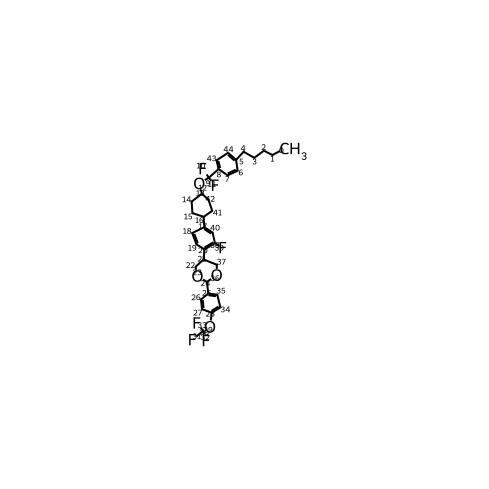 CCCCCc1ccc(C(F)(F)OC2CCC(c3ccc(C4COC(c5ccc(OC(F)(F)F)cc5)OC4)c(F)c3)CC2)cc1